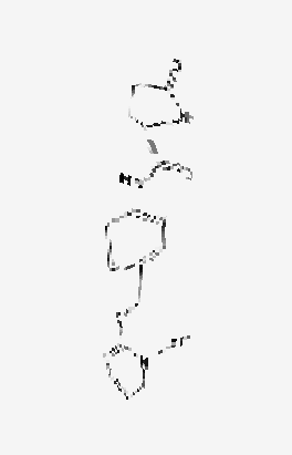 O=C1CC[C@@H](C(=O)Nc2ccc(CSc3cccc[n+]3[O-])cc2)N1